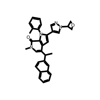 Cc1ccccc1-n1c(-c2cnn(C3COC3)c2)cc2c(C(C)c3ccc4ccccc4c3)cn(C)c(=O)c21